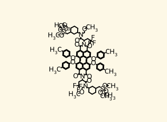 COCN(C(=O)C(CC(F)(F)F)N1C(=O)c2cc(Oc3ccc(C)cc3)c3c4c(Oc5ccc(C)cc5)cc5c6c(cc(Oc7ccc(C)cc7)c(c7c(Oc8ccc(C)cc8)cc(c2c37)C1=O)c64)C(=O)N(C(CC(F)(F)F)C(=O)N(COC)C1CCCC(C[Si](OC)(OC)OC)C1)C5=O)C1CCCC(C[Si](OC)(OC)OC)C1